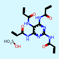 C=CC(=O)Nc1nc(NC(=O)C=C)c(NC(=O)C=C)c(NC(=O)C=C)n1.O=S(=O)(O)O